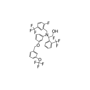 OCC(c1ccccc1C(F)(F)F)N(Cc1cc(C(F)(F)F)ccc1F)c1cccc(OCc2cccc(OC(F)(F)F)c2)c1